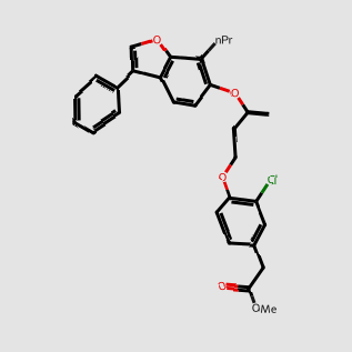 CCCc1c(OC(C)CCOc2ccc(CC(=O)OC)cc2Cl)ccc2c(-c3ccccc3)coc12